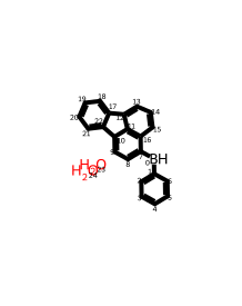 B(c1ccccc1)c1ccc2c3c(cccc13)-c1ccccc1-2.O.O